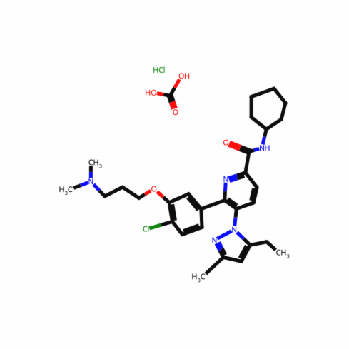 CCc1cc(C)nn1-c1ccc(C(=O)NC2CCCCC2)nc1-c1ccc(Cl)c(OCCCN(C)C)c1.Cl.O=C(O)O